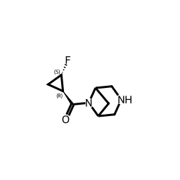 O=C([C@H]1C[C@@H]1F)N1C2CNCC1C2